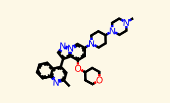 Cc1cc(-c2cnn3cc(N4CCC(N5CCN(C)CC5)CC4)cc(OC4CCOCC4)c23)c2ccccc2n1